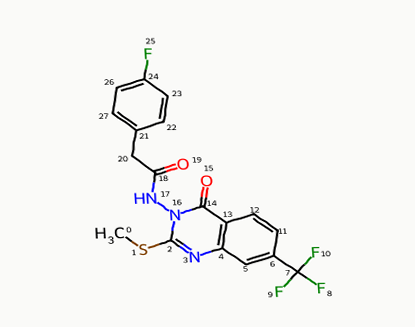 CSc1nc2cc(C(F)(F)F)ccc2c(=O)n1NC(=O)Cc1ccc(F)cc1